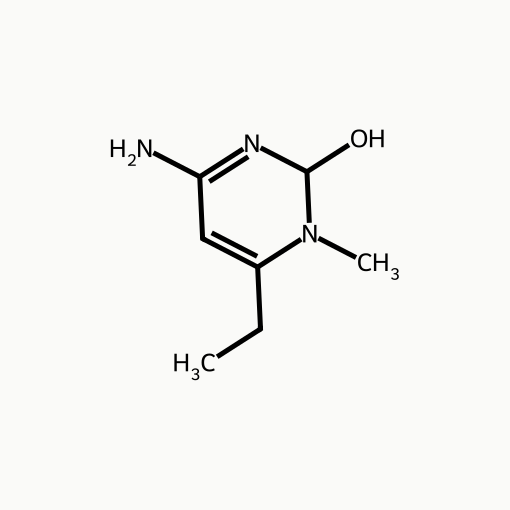 CCC1=CC(N)=NC(O)N1C